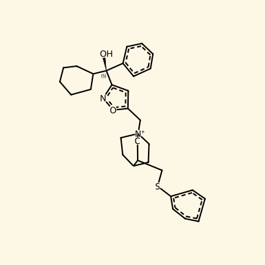 O[C@@](c1ccccc1)(c1cc(C[N+]23CCC(CC2)C(CSc2ccccc2)C3)on1)C1CCCCC1